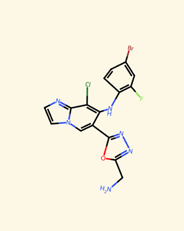 NCc1nnc(-c2cn3ccnc3c(Cl)c2Nc2ccc(Br)cc2F)o1